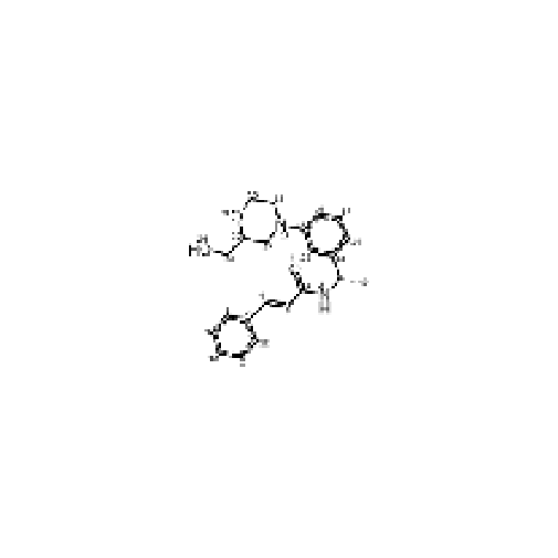 C[C@H](NC(=O)C=Cc1ccccc1)c1cccc(N2CCOC(CO)C2)c1